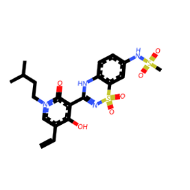 C=Cc1cn(CCC(C)C)c(=O)c(C2=NS(=O)(=O)c3cc(NS(C)(=O)=O)ccc3N2)c1O